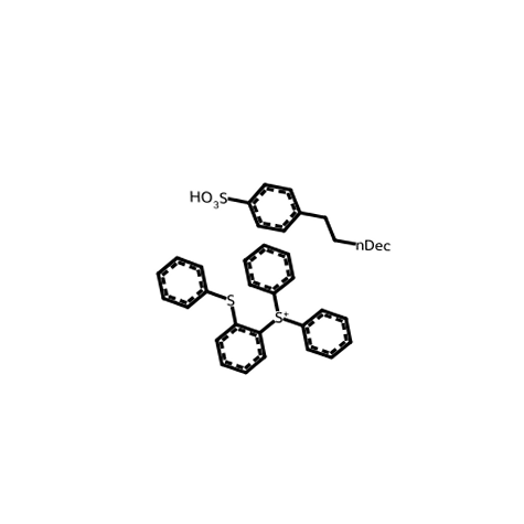 CCCCCCCCCCCCc1ccc(S(=O)(=O)O)cc1.c1ccc(Sc2ccccc2[S+](c2ccccc2)c2ccccc2)cc1